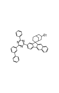 CCC1CC2CCC3(c4cc(-c5nc(-c6ccccc6)nc(-c6cccc(-c7ccccc7)c6)n5)ccc4-c4cc5ccccc5cc43)C(C1)C2